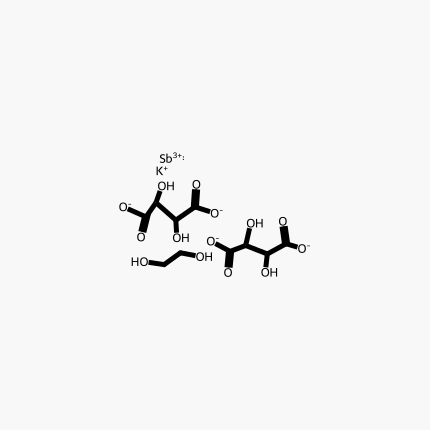 O=C([O-])C(O)C(O)C(=O)[O-].O=C([O-])C(O)C(O)C(=O)[O-].OCCO.[K+].[Sb+3]